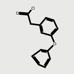 O=C(Cl)Cc1cccc(Oc2ccccc2)c1